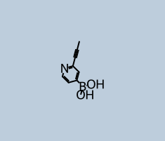 CC#Cc1cc(B(O)O)ccn1